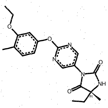 CCOc1cc(Oc2ncc(N3C(=O)N[C@](C)(CC)C3=O)cn2)ccc1C